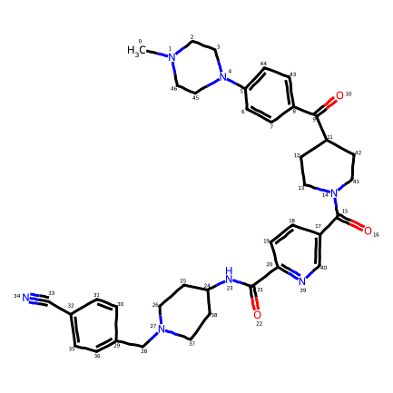 CN1CCN(c2ccc(C(=O)C3CCN(C(=O)c4ccc(C(=O)NC5CCN(Cc6ccc(C#N)cc6)CC5)nc4)CC3)cc2)CC1